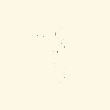 Cc1oc2ncnc(NC3(C)CC3)c2c1C(=O)NCc1cccc(F)c1Cl